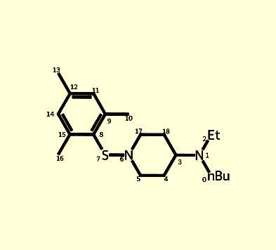 CCCCN(CC)C1CCN(Sc2c(C)cc(C)cc2C)CC1